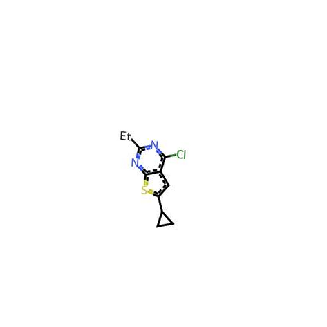 CCc1nc(Cl)c2cc(C3CC3)sc2n1